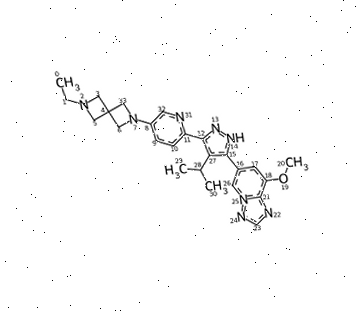 CCN1CC2(C1)CN(c1ccc(-c3n[nH]c(-c4cc(OC)c5ncnn5c4)c3C(C)C)nc1)C2